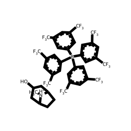 C[NH+]1C2CCC1CC(O)C2.FC(F)(F)c1cc([B-](c2cc(C(F)(F)F)cc(C(F)(F)F)c2)(c2cc(C(F)(F)F)cc(C(F)(F)F)c2)c2cc(C(F)(F)F)cc(C(F)(F)F)c2)cc(C(F)(F)F)c1